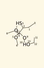 CCC(S)[Si](OC)(OC)OC.CCO